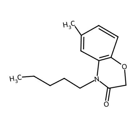 CCCCCN1C(=O)COc2ccc(C)cc21